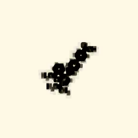 CC(C)c1ccccc1C1CN(C(C)C)CCN1C1CC2(CCN(c3ccc(C(=O)O)cc3)CC2)C1